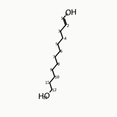 OC=CCCCCCCCCCCO